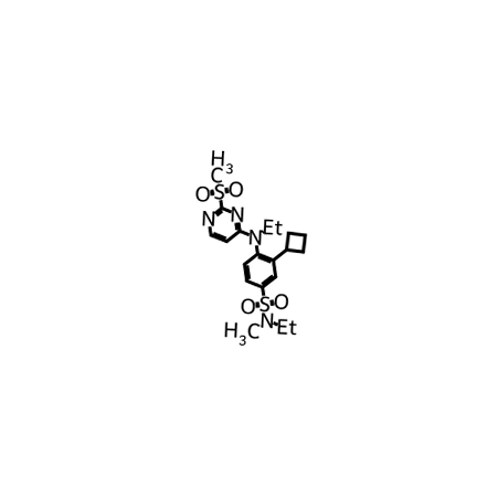 CCN(c1ccnc(S(C)(=O)=O)n1)c1ccc(S(=O)(=O)N(C)CC)cc1C1CCC1